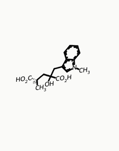 C[C@@H](CC(O)(Cc1cn(C)c2ccccc12)C(=O)O)C(=O)O